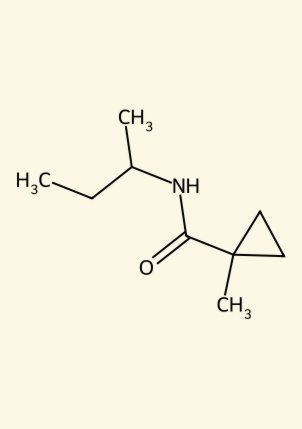 CCC(C)NC(=O)C1(C)CC1